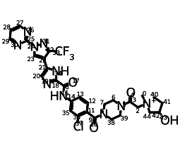 C[N+]1(CC(=O)N2CCN(C(=O)c3ccc(NC(=O)c4ncc(-c5cn(-c6ncccn6)nc5C(F)(F)F)[nH]4)cc3Cl)CC2)CC[C@@H](O)C1